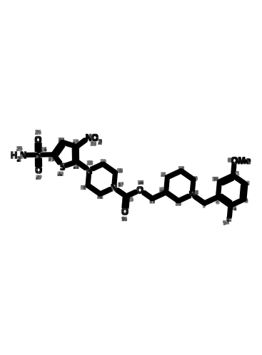 COc1ccc(F)c(CN2CCCC(COC(=O)N3CCN(c4sc(S(N)(=O)=O)cc4[N+](=O)[O-])CC3)C2)c1